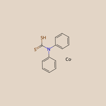 S=C(S)N(c1ccccc1)c1ccccc1.[Co]